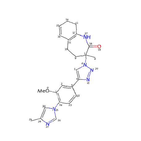 COc1cc(-c2cn(C3(C)CCC4=C(CCC=C4)NC3=O)nn2)ccc1-n1cnc(C)c1